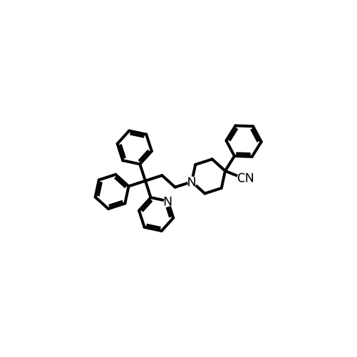 N#CC1(c2ccccc2)CCN(CCC(c2ccccc2)(c2ccccc2)c2ccccn2)CC1